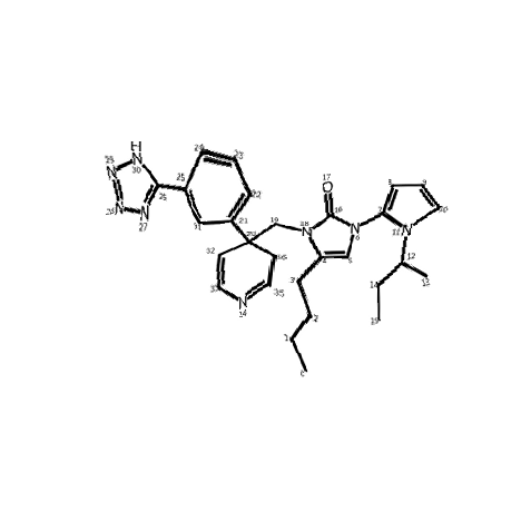 CCCCc1cn(-c2cccn2C(C)CC)c(=O)n1CC1(c2cccc(-c3nnn[nH]3)c2)C=CN=CC1